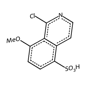 COc1ccc(S(=O)(=O)O)c2ccnc(Cl)c12